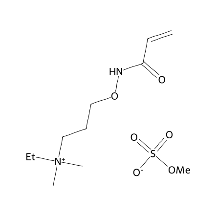 C=CC(=O)NOCCC[N+](C)(C)CC.COS(=O)(=O)[O-]